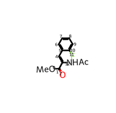 COC(=O)/C(=C/c1ccccc1F)NC(C)=O